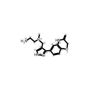 C=C1COc2ccc(-c3n[nH]cc3CN(C)CCN)cc2N1